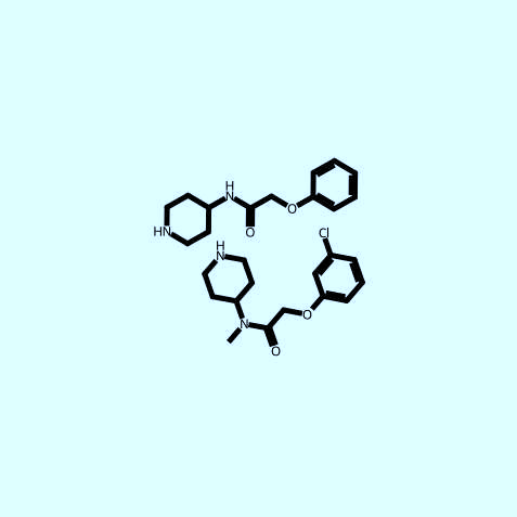 CN(C(=O)COc1cccc(Cl)c1)C1CCNCC1.O=C(COc1ccccc1)NC1CCNCC1